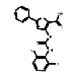 O=C(Nc1cc(-c2ccncc2)sc1C(=O)O)Nc1c(Cl)cccc1Cl